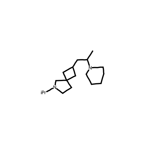 CC(C)N1CCC2(CC(CC(C)N3CCCCC3)C2)C1